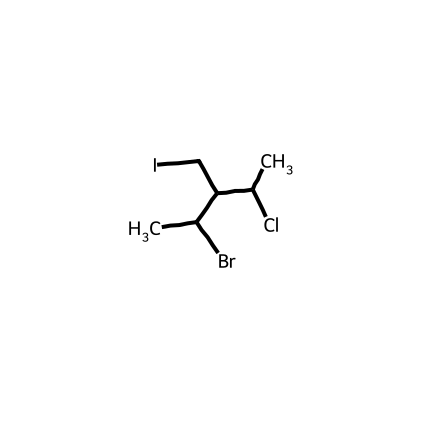 CC(Cl)C(CI)C(C)Br